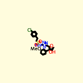 CO[C@H]1CC=CC(CO)=C1n1c(NS(=O)(=O)CCc2ccc(Cl)cc2)nnc1-c1ccco1